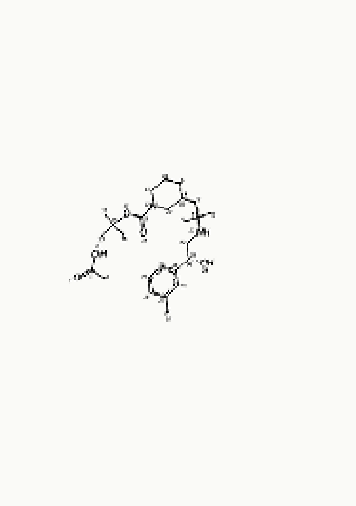 CC(=O)O.CC(C)(C[C@@H]1CCCN(C(=O)OC(C)(C)C)C1)NC[C@H](O)c1cccc(F)c1